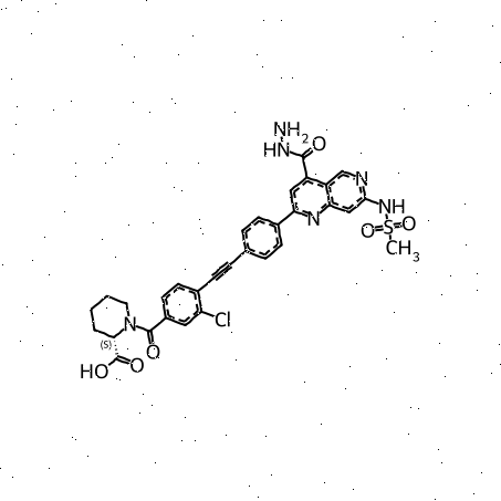 CS(=O)(=O)Nc1cc2nc(-c3ccc(C#Cc4ccc(C(=O)N5CCCC[C@H]5C(=O)O)cc4Cl)cc3)cc(C(=O)NN)c2cn1